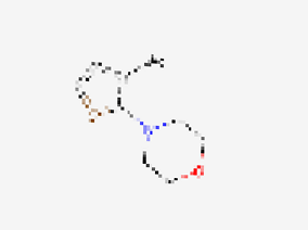 CC(=O)c1ccsc1N1CCOCC1